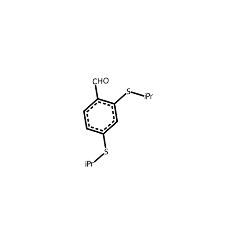 CC(C)Sc1ccc(C=O)c(SC(C)C)c1